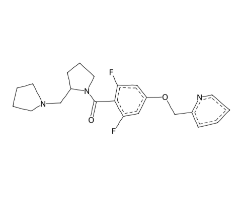 O=C(c1c(F)cc(OCc2ccccn2)cc1F)N1CCCC1CN1CCCC1